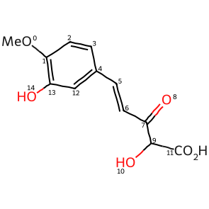 COc1ccc(/C=C/C(=O)C(O)C(=O)O)cc1O